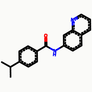 CC(C)c1ccc(C(=O)Nc2ccc3cccnc3c2)cc1